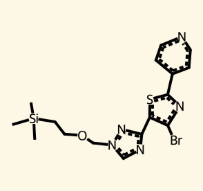 C[Si](C)(C)CCOCn1cnc(-c2sc(-c3ccncc3)nc2Br)n1